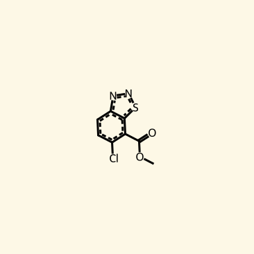 COC(=O)c1c(Cl)ccc2nnsc12